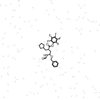 O=CNC(CC(CC1CCCC1)C(=O)Oc1c(F)c(F)c(F)c(F)c1F)OCc1ccccc1